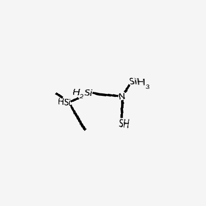 C[SiH](C)[SiH2]N([SiH3])S